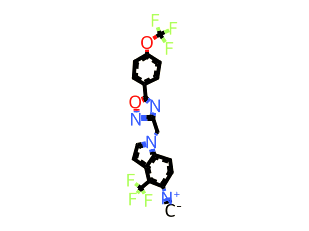 [C-]#[N+]c1ccc2c(ccn2Cc2noc(-c3ccc(OC(F)(F)F)cc3)n2)c1C(F)(F)F